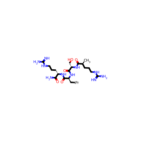 CC(C)C[C@H](NC(=O)[C@H](CO)NC(=O)[C@@H](C)CCCNC(=N)N)C(=O)N[C@@H](CCCNC(=N)N)C(N)=O